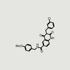 COc1ccc(CNC(=O)c2ccc3c(c2)C(=O)C(Cc2cccc(Cl)c2)C(=O)N3)cc1